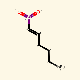 CCCCCCCC=CP(=O)=O